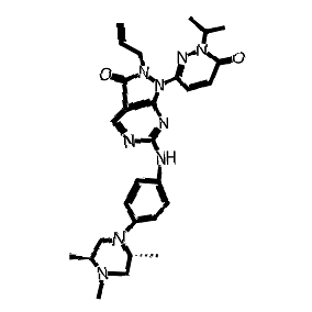 C=CCn1c(=O)c2cnc(Nc3ccc(N4C[C@H](C)N(C)C[C@H]4C)cc3)nc2n1-c1ccc(=O)n(C(C)C)n1